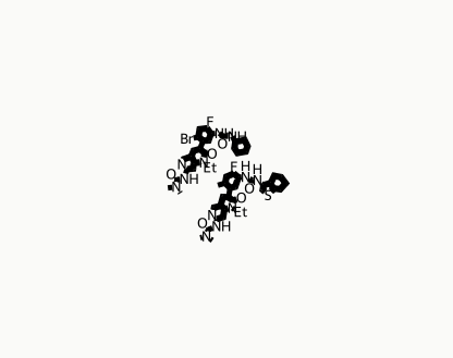 CCn1c(=O)c(-c2cc(NC(=O)Nc3ccccc3)c(F)cc2Br)cc2cnc(NC(=O)N(C)C)cc21.CCn1c(=O)c(-c2cc(NC(=O)Nc3csc4ccccc34)c(F)cc2C)cc2cnc(NC(=O)N(C)C)cc21